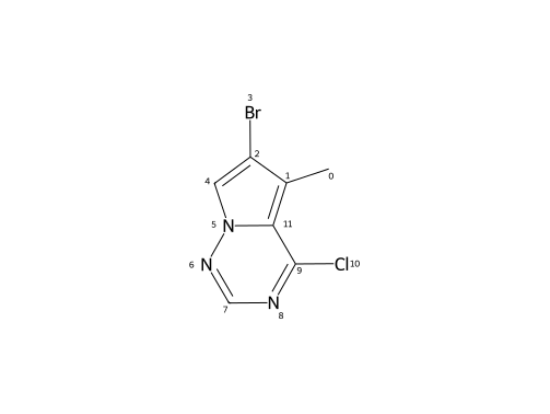 Cc1c(Br)cn2ncnc(Cl)c12